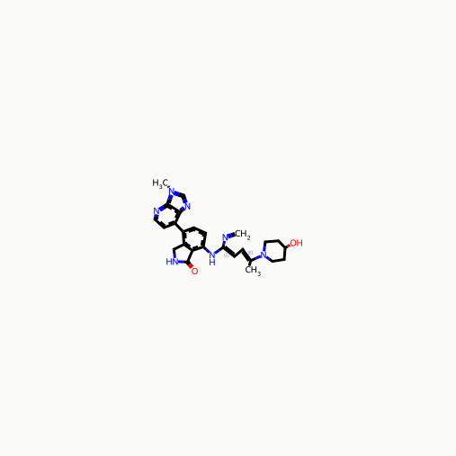 C=N/C(=C\C=C(/C)N1CCC(O)CC1)Nc1ccc(-c2ccnc3c2ncn3C)c2c1C(=O)NC2